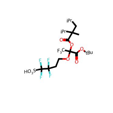 CC(C)CC(C)(C(=O)OC(OCCC(F)(F)C(F)(F)S(=O)(=O)O)(C(=O)OC(C)(C)C)C(F)(F)F)C(C)C